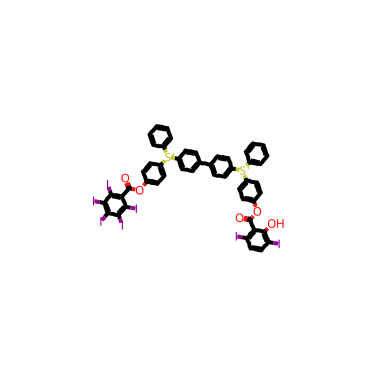 O=C(Oc1ccc([S+](c2ccccc2)c2ccc(-c3ccc([S+](c4ccccc4)c4ccc(OC(=O)c5c(I)c(I)c(I)c(I)c5I)cc4)cc3)cc2)cc1)c1c(I)ccc(I)c1O